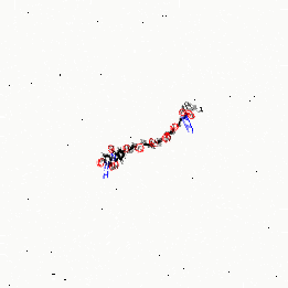 CC(C)(C)OC(=O)NCCOCCOCCOCCOCCOc1ccc2c(c1)C(=O)N(C1CCC(=O)NC1=O)C2=O